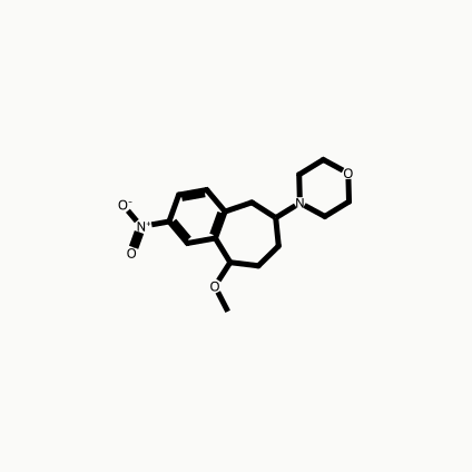 COC1CCC(N2CCOCC2)Cc2ccc([N+](=O)[O-])cc21